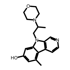 Cc1cc(O)cc2c1c1ccncc1n2CC(C)N1CCOCC1